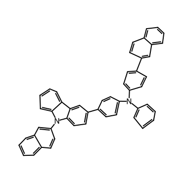 c1ccc(N(c2ccc(-c3ccc4ccccc4c3)cc2)c2ccc(-c3ccc4c(c3)c3ccccc3n4-c3ccc4ccccc4c3)cc2)cc1